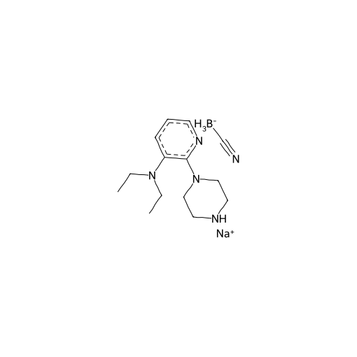 CCN(CC)c1cccnc1N1CCNCC1.[BH3-]C#N.[Na+]